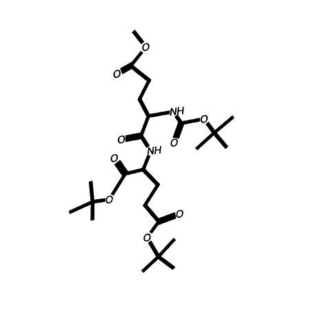 COC(=O)CCC(NC(=O)OC(C)(C)C)C(=O)NC(CCC(=O)OC(C)(C)C)C(=O)OC(C)(C)C